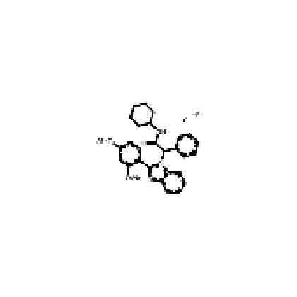 COc1ccc(-c2nc3ccccc3n2C(C(=O)NC2CCCCC2)c2ccccc2)c(OC)c1.[Cl-].[H+]